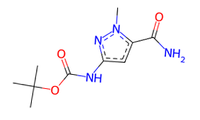 Cn1nc(NC(=O)OC(C)(C)C)cc1C(N)=O